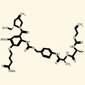 C=CCOC(=O)N[C@H](C(=O)N[C@@H](C)C(=O)Nc1ccc(COC(=O)Nc2cc(OCCCC(=O)OC)c(OC)cc2C(=O)N2CC(=C)C[C@H]2COC(C)=O)cc1)C(C)C